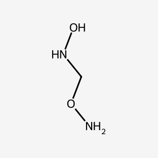 NOCNO